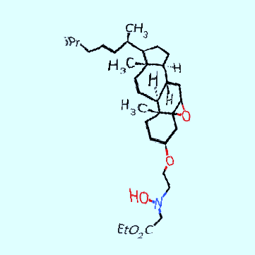 CCOC(=O)CN(O)CCO[C@H]1CC[C@]2(C)[C@H]3CC[C@]4(C)[C@@H]([C@H](C)CCCC(C)C)CC[C@H]4[C@@H]3CC3OC32C1